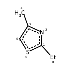 CCc1nc(C)[c]s1